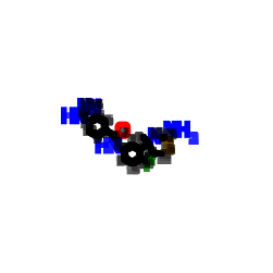 CC1(c2cc(NC(=O)c3ccc4[nH]nnc4c3)ccc2F)CCSC(N)=N1